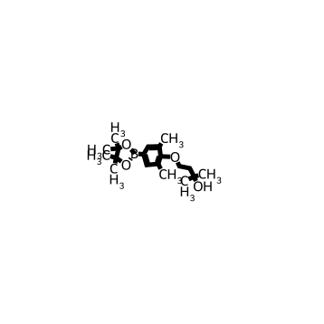 Cc1cc(B2OC(C)(C)C(C)(C)O2)cc(C)c1OCCC(C)(C)O